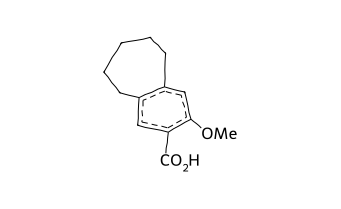 COc1cc2c(cc1C(=O)O)CCCCC2